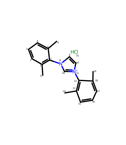 Cc1cccc(C)c1-n1cc[n+](-c2c(C)cccc2C)c1.Cl